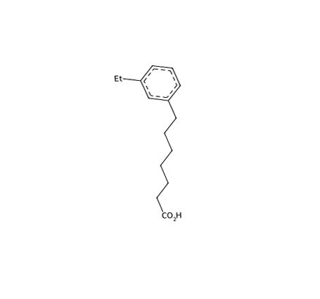 CCc1cccc(CCCCCCC(=O)O)c1